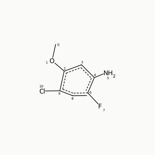 COc1cc(N)c(F)cc1Cl